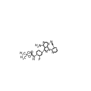 CC(C)(C)OC(=O)Nc1ccc(-c2nn(-c3ncccc3C#N)c3ncnc(N)c23)cc1F